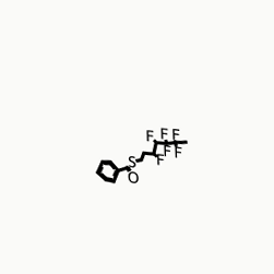 CC(F)(F)C(F)(F)C(F)C(F)CCSC(=O)c1ccccc1